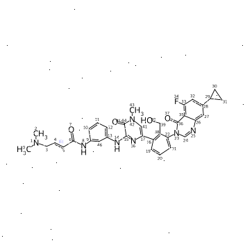 CN(C)C/C=C/C(=O)Nc1cccc(Nc2nc(-c3cccc(-n4cnc5cc(C6CC6)cc(F)c5c4=O)c3CO)cn(C)c2=O)c1